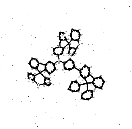 c1ccc(C2(c3ccccc3)c3ccccc3-c3ccc(-c4ccc(N(c5ccc6c(c5)-c5ccccc5C65c6ccccc6Oc6ccccc65)c5ccc6c(c5)C5(c7ccccc7Sc7ccccc75)c5ccccc5-6)cc4)cc32)cc1